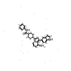 Nc1nccn2c(C3CCC(C(=O)Nc4cccnc4)CC3)nc(-c3ccc4[nH]ccc4c3)c12